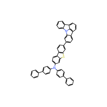 c1ccc(-c2ccc(N(c3ccc(-c4ccccc4)cc3)c3ccc4c(c3)sc3cc(-c5ccc6c7cccc8c9ccccc9n(c6c5)c87)ccc34)cc2)cc1